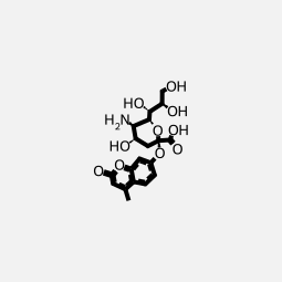 Cc1cc(=O)oc2cc(O[C@@]3(C(=O)O)C[C@H](O)[C@@H](N)[C@H]([C@H](O)[C@H](O)CO)O3)ccc12